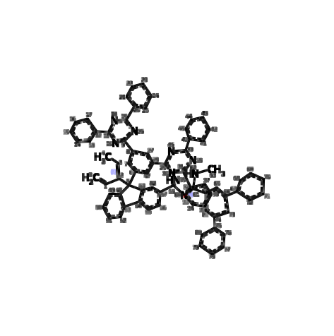 C=C/C(=C\C)C1(c2cc(-c3nc(-c4ccccc4)nc(-c4ccccc4)n3)cc(-c3nc(-c4ccccc4)nc(-c4ccccc4)n3)c2)c2ccccc2-c2ccc(C(=N)/N=C(\NC)c3cc(-c4ccccc4)cc(-c4ccccc4)c3)cc21